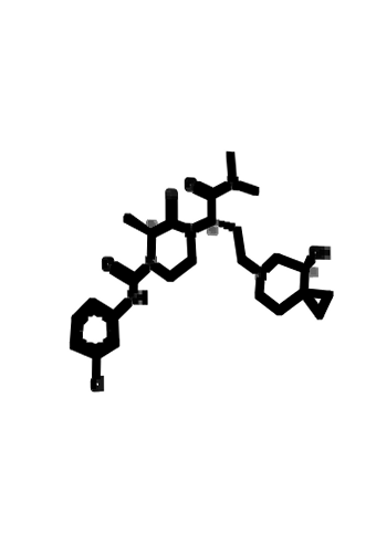 C[C@H]1C(=O)N([C@@H](CCN2CCC3(CC3)[C@H](O)C2)C(=O)N(C)C)CCN1C(=O)Nc1cccc(Cl)c1